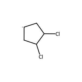 ClC1C[CH]CC1Cl